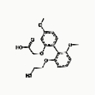 COc1ccc(-c2c(OCCO)[c]ccc2OC)c(OCC(=O)O)c1